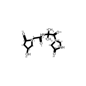 CC(C)(NC(=O)CN1CC(O)CC1=O)C(=O)N1CNC(=O)C1